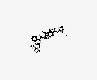 Cn1nnnc1SCC1=C(C(=O)O)N2C(=O)C(NC(=O)C(NC(=O)Cn3nnnc3N)c3ccccc3)[C@@H]2SC1